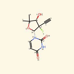 C#C[C@@]1(F)[C@H](O)C(C)(C)O[C@H]1n1ccc(=O)[nH]c1=O